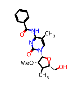 CO[C@H]1C(C)[C@@H](CO)O[C@H]1n1cc(C)c(NC(=O)c2ccccc2)nc1=O